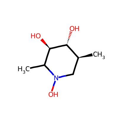 CC1[C@@H](O)[C@H](O)[C@@H](C)CN1O